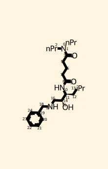 CCCN(CCC)C(=O)CCCC(=O)N[C@@H](CC(C)C)[C@H](O)CNCc1ccccc1